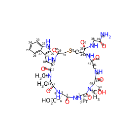 CC(C)[C@@H]1NC(=O)[C@H](CC(=O)O)NC(=O)[C@H](C)N(C)C(=O)[C@@H](Cc2c[nH]c3ccccc23)NC(=O)CSC[C@@H](C(=O)NCC(N)=O)NC(=O)CNC(=O)[C@H](CO)N(C)C1=O